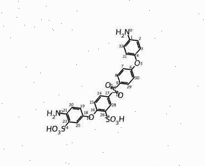 Nc1ccc(Oc2ccc(S(=O)(=O)c3ccc(Oc4ccc(N)c(S(=O)(=O)O)c4)c(S(=O)(=O)O)c3)cc2)cc1